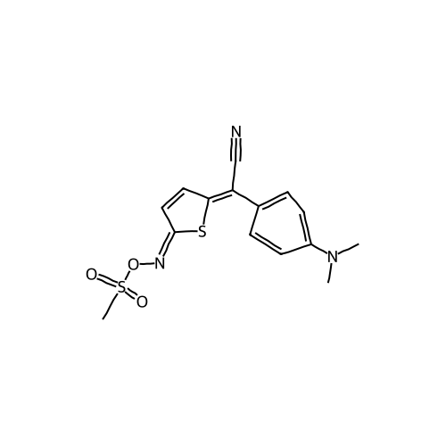 CN(C)c1ccc(/C(C#N)=C2C=C/C(=N\OS(C)(=O)=O)S/2)cc1